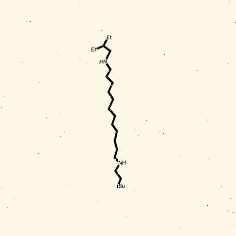 CCC(CC)CNCCCCCCCCCCCCNCCC(C)(C)C